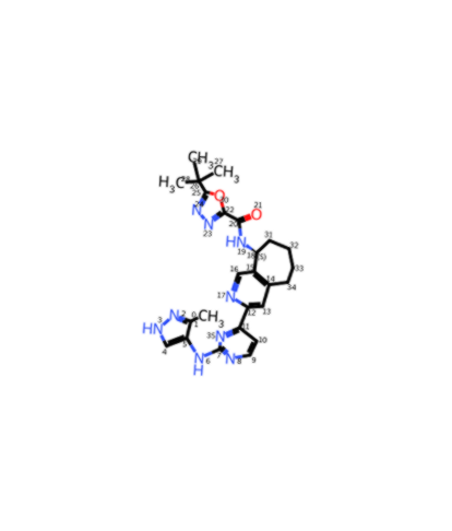 Cc1n[nH]cc1Nc1nccc(-c2cc3c(cn2)[C@@H](NC(=O)c2nnc(C(C)(C)C)o2)CCCC3)n1